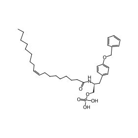 CCCCCCCC/C=C\CCCCCCCC(=O)N[C@H](COP(=O)(O)O)Cc1ccc(OCc2ccccc2)cc1